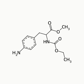 CCOC(=O)NC(Cc1ccc(N)cc1)C(=O)OC